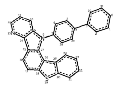 c1ccc(-c2ccc(-n3c4cccnc4c4ccc5sc6ccccc6c5c43)cc2)cc1